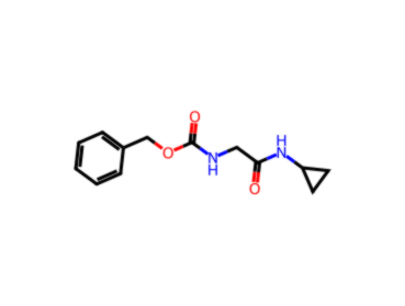 O=C(CNC(=O)OCc1ccccc1)NC1CC1